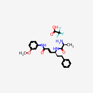 COc1cccc(NC(=O)/C=C/[C@H](CCc2ccccc2)NC(=O)[C@H](C)N)c1.O=C(O)C(F)(F)F